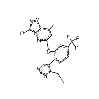 CCc1ncncc1-c1ccc(C(F)(F)F)cc1Oc1cc(C)c2nnc(Cl)n2n1